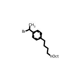 CCCCCCCCCCCCc1ccc(C(C)Br)cc1